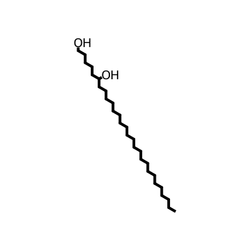 CCCCCCCCCCCCCCCCCCCCCCC(O)CCCCCO